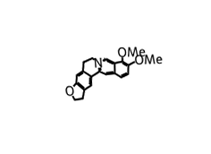 COc1ccc2cc3[n+](cc2c1OC)CCc1cc2c(cc1-3)CCO2